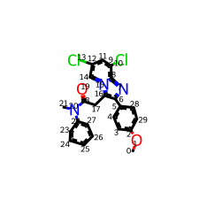 COc1ccc(-c2nc3c(Cl)cc(Cl)cn3c2CC(=O)N(C)c2ccccc2)cc1